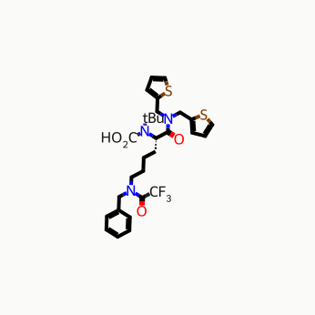 CC(C)(C)N(C(=O)O)[C@@H](CCCCN(Cc1ccccc1)C(=O)C(F)(F)F)C(=O)N(Cc1cccs1)Cc1cccs1